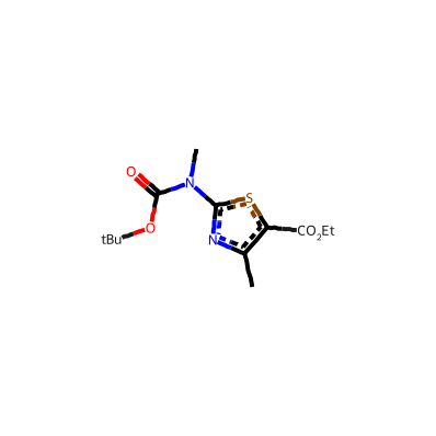 CCOC(=O)c1sc(N(C)C(=O)OC(C)(C)C)nc1C